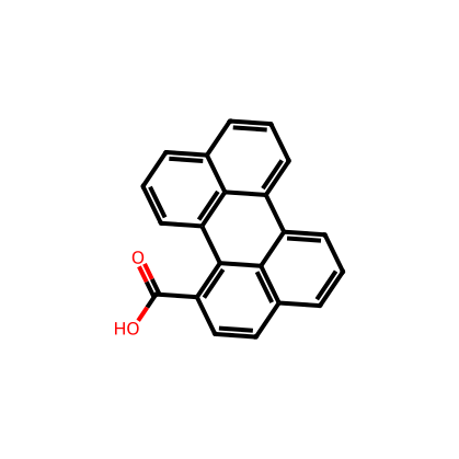 O=C(O)c1ccc2cccc3c4cccc5cccc(c1c23)c54